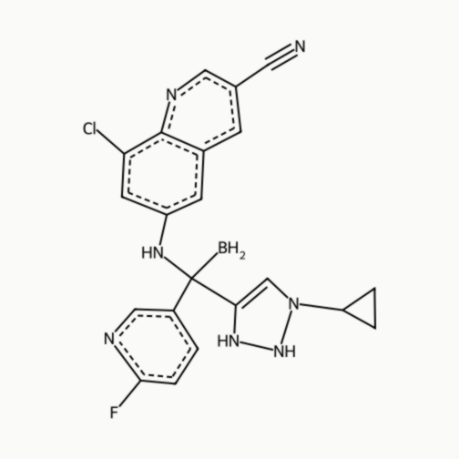 BC(Nc1cc(Cl)c2ncc(C#N)cc2c1)(C1=CN(C2CC2)NN1)c1ccc(F)nc1